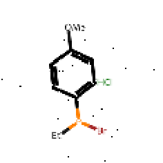 CCP(Br)c1ccc(OC)cc1.Cl